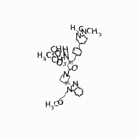 COCCCn1c([C@@H]2CCCN(C(=O)C[C@@H](Cc3ccc(-c4ccc(N(C)C)nc4)cc3)NC(=O)OC(C)(C)C)C2)nc2ccccc21